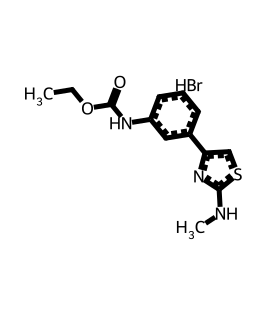 Br.CCOC(=O)Nc1cccc(-c2csc(NC)n2)c1